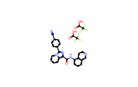 N#Cc1ccc(-c2nc(C(=O)Nc3cccc4cnccc34)c3ccccn23)cc1.O=C(O)C(F)(F)F.O=C(O)C(F)(F)F